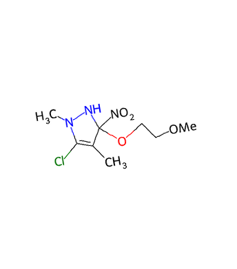 COCCOC1([N+](=O)[O-])NN(C)C(Cl)=C1C